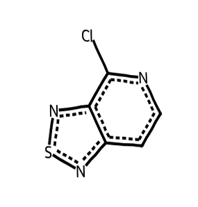 Clc1nccc2nsnc12